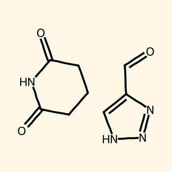 O=C1CCCC(=O)N1.O=Cc1c[nH]nn1